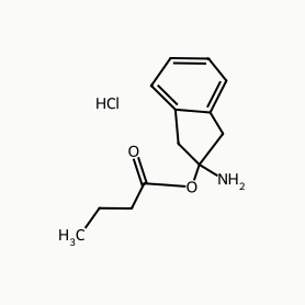 CCCC(=O)OC1(N)Cc2ccccc2C1.Cl